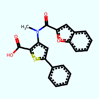 CN(C(=O)c1cc2ccccc2o1)c1cc(-c2ccccc2)sc1C(=O)O